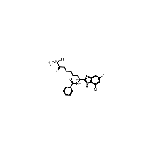 C[C@@H](O)C(=O)CCCCC[C@H](NC(=O)c1ccccc1)c1nc2cc(Cl)cc(Cl)c2[nH]1